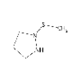 CSN1CCCN1